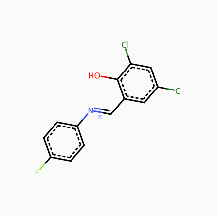 Oc1c(Cl)cc(Cl)cc1/C=N/c1ccc(F)cc1